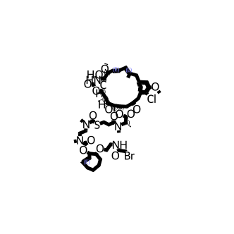 COc1cc2cc(c1Cl)CC(=O)C[C@H](OC(=O)[C@H](C)N(C)C(=O)CCSC(=O)N(C)CCN(C)C(=O)OC1/C=C/CCCCC1OCCNC(=O)CBr)[C@]1(C)O[C@H]1[C@H](C)[C@@H]1C[C@@](O)(NC(=O)O1)[C@H](OC)/C=C/C=C(\C)C2